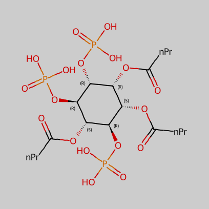 CCCC(=O)O[C@@H]1[C@H](OC(=O)CCC)[C@@H](OP(=O)(O)O)[C@H](OC(=O)CCC)[C@@H](OP(=O)(O)O)[C@@H]1OP(=O)(O)O